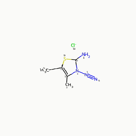 CC1=C(C)N([N+]#N)C(N)S1.[Cl-]